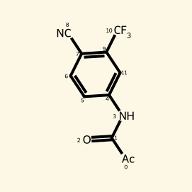 CC(=O)C(=O)Nc1ccc(C#N)c(C(F)(F)F)c1